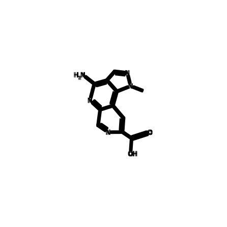 Cn1ncc2c(N)nc3cnc(C(=O)O)cc3c21